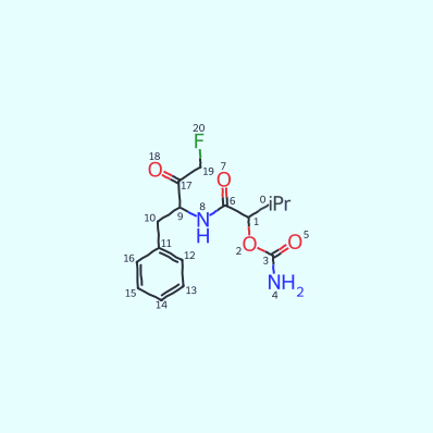 CC(C)C(OC(N)=O)C(=O)NC(Cc1ccccc1)C(=O)CF